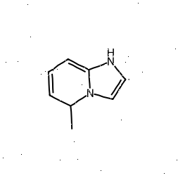 CC1C=CC=C2N[C]=CN21